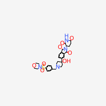 O=C1CCC(N2C(=O)c3ccc(C4(O)CCN(Cc5ccc(S(=O)(=O)N6CCOCC6)cc5)CC4)cc3C2=O)C(=O)N1